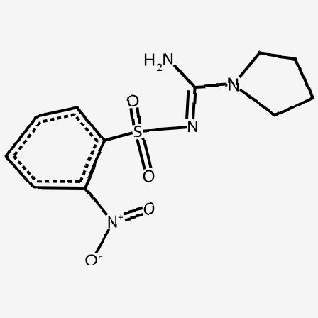 N/C(=N\S(=O)(=O)c1ccccc1[N+](=O)[O-])N1CCCC1